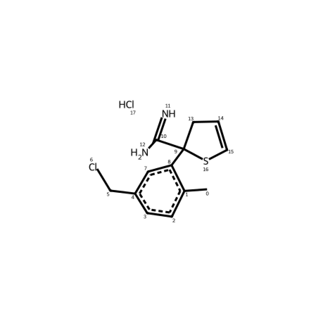 Cc1ccc(CCl)cc1C1(C(=N)N)CC=CS1.Cl